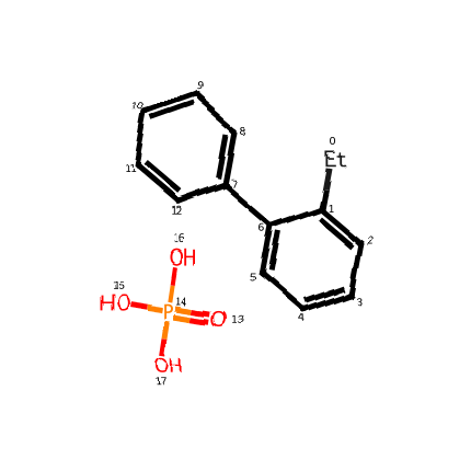 CCc1ccccc1-c1ccccc1.O=P(O)(O)O